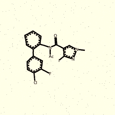 CC(=O)N(C(=O)c1cn(C)nc1I)c1ccccc1-c1ccc(Cl)c(F)c1